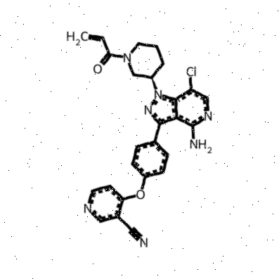 C=CC(=O)N1CCC[C@@H](n2nc(-c3ccc(Oc4ccncc4C#N)cc3)c3c(N)ncc(Cl)c32)C1